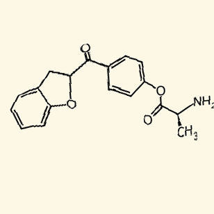 C[C@H](N)C(=O)Oc1ccc(C(=O)C2Cc3ccccc3O2)cc1